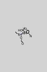 C=CCO/C(=C/N[C@H]1c2cc(C#N)ccc2OC(C)(C)[C@@H]1O)COCC=C=O